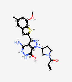 C=CC(=O)N1CC[C@H](n2nc(-c3cc4cc(C)cc(OC)c4s3)c3c(N)n[nH]c(=O)c32)C1